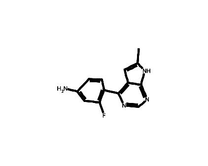 Cc1cc2c(-c3ccc(N)cc3F)ncnc2[nH]1